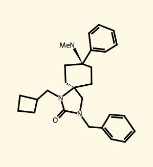 CN[C@]1(c2ccccc2)CC[C@]2(CC1)CN(Cc1ccccc1)C(=O)N2CC1CCC1